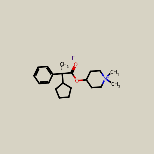 C[C@@](C(=O)OC1CC[N+](C)(C)CC1)(c1ccccc1)C1CCCC1.[I-]